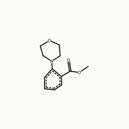 COC(=O)c1ccccc1N1CCOCC1